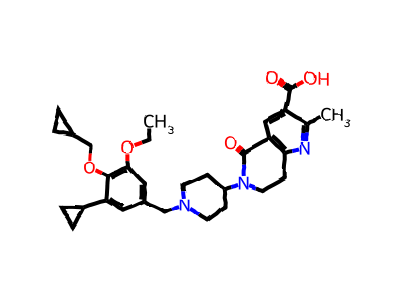 CCOc1cc(CN2CCC(N3CCc4nc(C)c(C(=O)O)cc4C3=O)CC2)cc(C2CC2)c1OCC1CC1